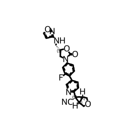 N#C[C@]1(c2ccc(-c3ccc(N4C[C@H](CNc5ccon5)OC4=O)cc3F)cn2)[C@@H]2COC[C@@H]21